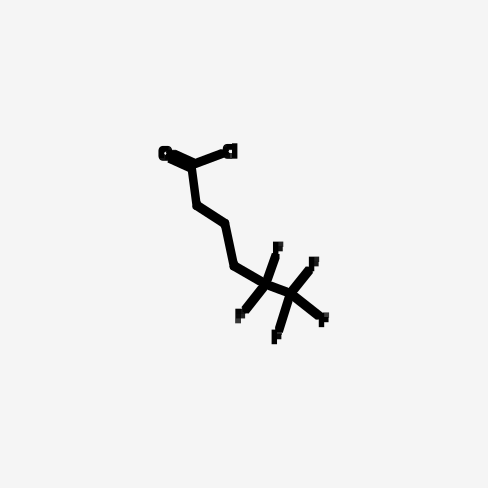 O=C(Cl)CCCC(F)(F)C(F)(F)F